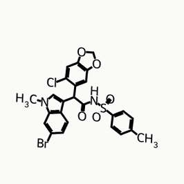 Cc1ccc(S(=O)(=O)NC(=O)C(c2cc3c(cc2Cl)OCO3)c2cn(C)c3cc(Br)ccc23)cc1